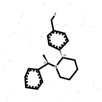 C[C@H](c1ccccc1)N1CCCC[C@H]1c1ccc(CF)cc1